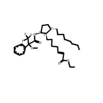 CCCCCCCC[C@H]1CC[C@H](OC(=O)C(OC)(c2ccccc2)C(F)(F)F)[C@@H]1CCCCC=CC(=O)OCC